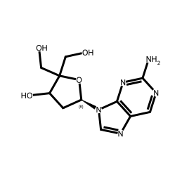 Nc1ncc2ncn([C@H]3CC(O)C(CO)(CO)O3)c2n1